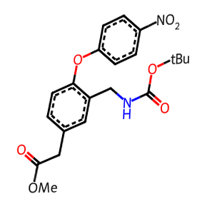 COC(=O)Cc1ccc(Oc2ccc([N+](=O)[O-])cc2)c(CNC(=O)OC(C)(C)C)c1